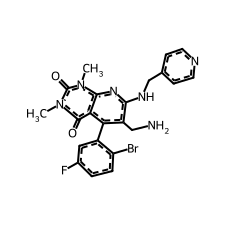 Cn1c(=O)c2c(-c3cc(F)ccc3Br)c(CN)c(NCc3ccncc3)nc2n(C)c1=O